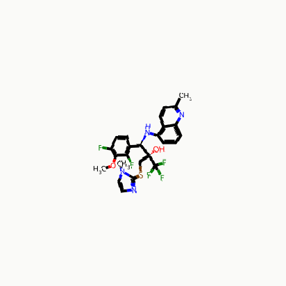 COc1c(F)ccc([C@@H](Nc2cccc3nc(C)ccc23)[C@](O)(CSc2nccn2C)C(F)(F)F)c1F